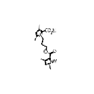 CCOC(=O)c1c(C)cc(C)n1CCCOC(=O)c1[nH]c(C)cc1C